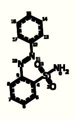 NS(=O)(=O)c1ccccc1/N=N/c1ccccc1